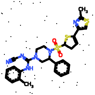 Cc1nc(C2=CCC(S(=O)(=O)N3CCN(/C(=N/C#N)Nc4ccccc4C)CC3c3ccccc3)S2)cs1